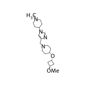 CO[C@H]1C[C@H](OC2CCN(Cc3cn(C4CCN(C)CC4)cn3)CC2)C1